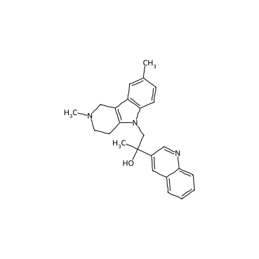 Cc1ccc2c(c1)c1c(n2CC(C)(O)c2cnc3ccccc3c2)CCN(C)C1